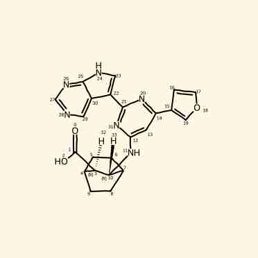 O=C(O)[C@@H]1C2CCC(CC2)[C@H]1Nc1cc(-c2ccoc2)nc(-c2c[nH]c3ncncc23)n1